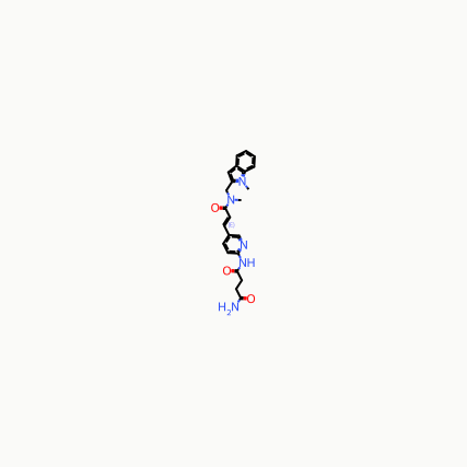 CN(Cc1cc2ccccc2n1C)C(=O)/C=C/c1ccc(NC(=O)CCC(N)=O)nc1